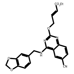 CCOC(=O)C=CCOc1nc(NCc2ccc3c(c2)OCO3)c2cc(C#N)ccc2n1